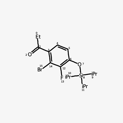 CCC(=O)c1ccc(O[Si](C(C)C)(C(C)C)C(C)C)c(F)c1Br